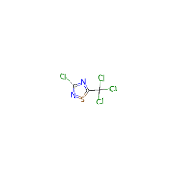 Clc1nsc(C(Cl)(Cl)Cl)n1